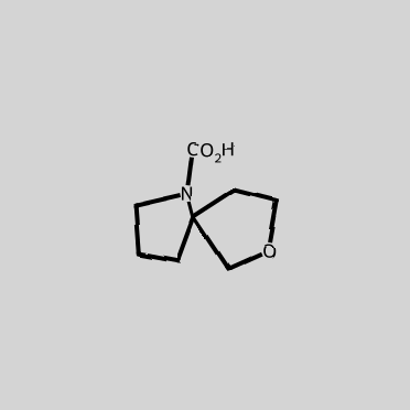 O=C(O)N1CCCC12CCOC2